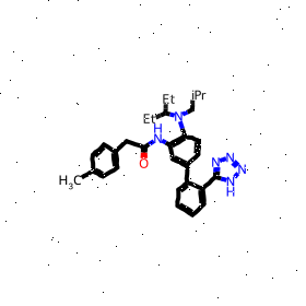 CCC(CC)N(CC(C)C)c1ccc(-c2ccccc2-c2nnn[nH]2)cc1NC(=O)Cc1ccc(C)cc1